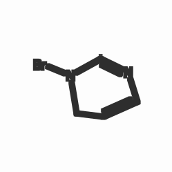 BrN1[C]=NC=CC1